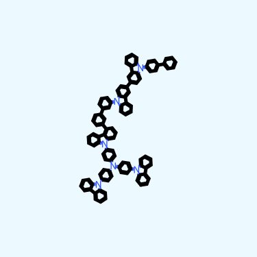 c1ccc(-c2ccc(-n3c4ccccc4c4cc(-c5ccc6c(c5)c5ccccc5n6-c5cccc(-c6cccc(-c7cccc8c7c7ccccc7n8-c7ccc(N(c8ccc(-n9c%10ccccc%10c%10ccccc%109)cc8)c8ccc(-n9c%10ccccc%10c%10ccccc%109)cc8)cc7)c6)c5)ccc43)cc2)cc1